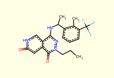 CCCn1nc(NC(C)c2cccc(C(F)(F)F)c2C)c2c[nH]c(=O)cc2c1=O